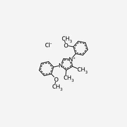 COc1ccccc1-n1c[n+](-c2ccccc2OC)c(C)c1C.[Cl-]